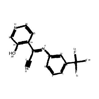 N#C/C(=N\c1cccc(C(F)(F)F)c1)c1ccncc1O